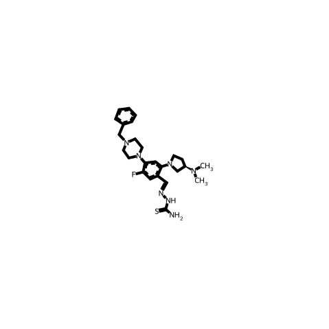 CN(C)[C@@H]1CCN(c2cc(N3CCN(Cc4ccccc4)CC3)c(F)cc2/C=N/NC(N)=S)C1